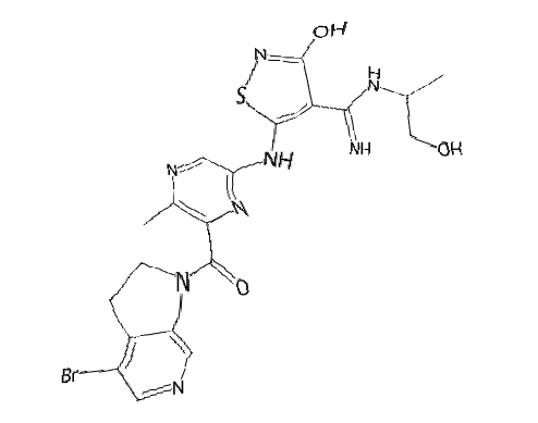 Cc1ncc(Nc2snc(O)c2C(=N)NC(C)CO)nc1C(=O)N1CCc2c(Br)cncc21